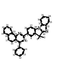 CC1(C)c2cc(-c3nc(-c4ccccc4)c4ccc5ccccc5c4n3)ccc2-n2c1nc1ccccc12